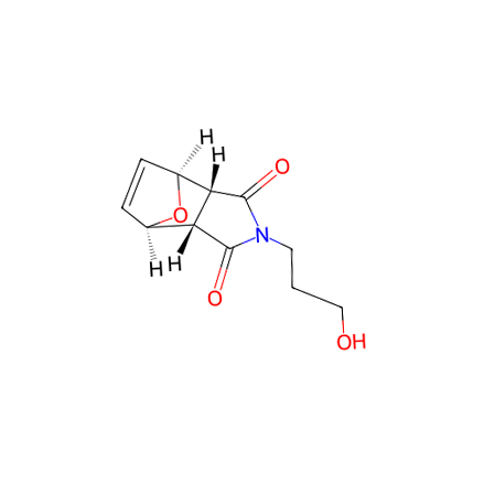 O=C1[C@@H]2[C@H](C(=O)N1CCCO)[C@H]1C=C[C@@H]2O1